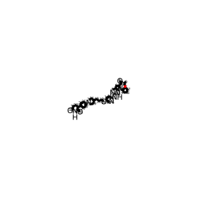 CN(C)C(=O)c1cc2cnc(Nc3ccc(OCCCC4CCN(c5ccc(C6CCC(=O)NC6=O)cc5)CC4)cn3)nc2n1C1CCCC1